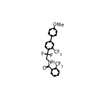 COc1ccc(-c2ccc(C(F)(F)CNC(=O)c3ccccc3C(F)(F)F)c(C(F)(F)F)c2)cc1